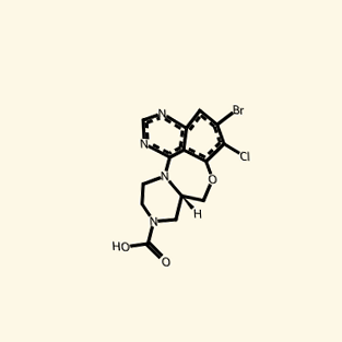 O=C(O)N1CCN2c3ncnc4cc(Br)c(Cl)c(c34)OC[C@@H]2C1